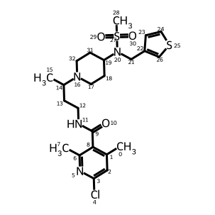 Cc1cc(Cl)nc(C)c1C(=O)NCCC(C)N1CCC(N(Cc2ccsc2)S(C)(=O)=O)CC1